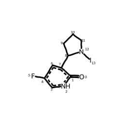 O=c1[nH]cc(F)cc1C1CCCN1I